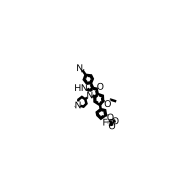 CCOc1cc2c(=O)c3c4ccc(C#N)cc4[nH]c3n(C3CCN(C)CC3)c2cc1-c1cccc(OS(=O)(=O)F)c1